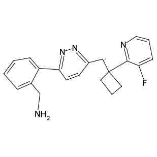 NCc1ccccc1-c1ccc([CH]C2(c3ncccc3F)CCC2)nn1